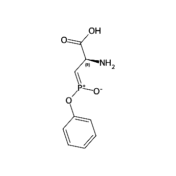 N[C@@H](C=[P+]([O-])Oc1ccccc1)C(=O)O